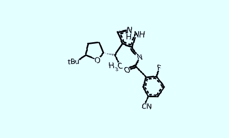 CC(c1c[nH][nH]/c1=N/C(=O)c1cc(C#N)ccc1F)[C@H]1CCC(C(C)(C)C)O1